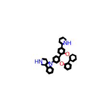 C1=CCNC(c2ccc3c(c2)OC2=C(C=CCC2)c2ccccc2Oc2cc(-n4c5c(c6ccccc64)CNC=C5)ccc2-3)=C1